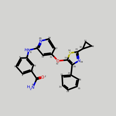 NC(=O)c1cccc(Nc2cc(Oc3sc(C4CC4)nc3-c3ccccc3)ccn2)c1